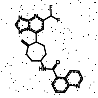 C=C1CC[C@H](NC(=O)c2cccc3ncccc23)CCC1c1cc(C(F)F)nc2ncnn12